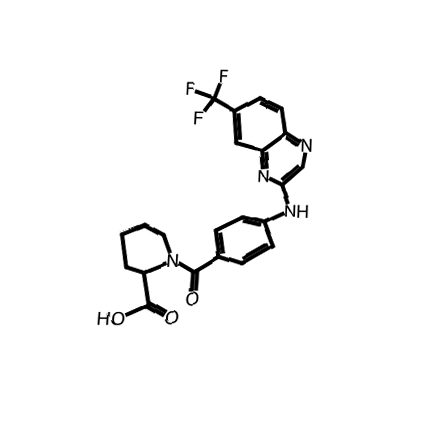 O=C(O)C1CCCCN1C(=O)c1ccc(Nc2cnc3ccc(C(F)(F)F)cc3n2)cc1